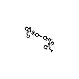 O=C(NC[C@@H]1CCCN1C(=O)[C@H](NC(=O)C1CC1)c1ccccc1)c1ccc(C#Cc2ccc(-c3cnc([C@@H]4CCCN4C(=O)[C@H](NC(=O)C4CC4)c4ccccc4)[nH]3)cc2)cc1